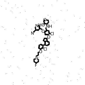 N#Cc1cncc(COc2cc(O[C@H]3CCc4c(-c5cccc(OCCCN6CCC(F)CC6)c5Cl)cccc43)c(Cl)cc2CN[C@@H]2CCOC[C@H]2O)c1